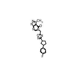 Cn1nnc2ncn(Cc3nc(C4CCC(c5ccc(F)cc5)C4)no3)c(=O)c21